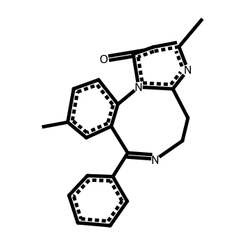 Cc1ccc2c(c1)/C(c1ccccc1)=N\CCc1nc(C)cc(=O)n1-2